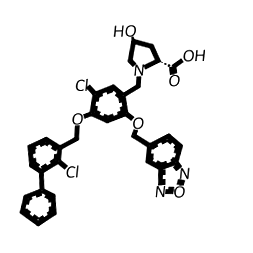 O=C(O)[C@H]1C[C@@H](O)CN1Cc1cc(Cl)c(OCc2cccc(-c3ccccc3)c2Cl)cc1OCc1ccc2nonc2c1